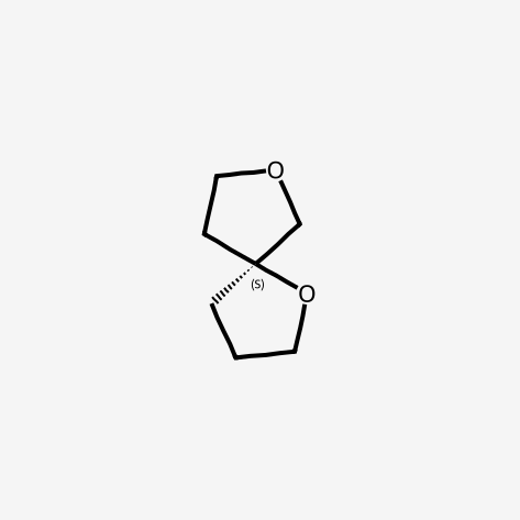 C1CO[C@@]2(C1)CCOC2